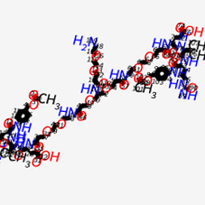 CC(=O)OCc1ccc(NC(=O)[C@H](CCCNC(N)=O)NC(=O)[C@@H](NC(=O)[C@H](CCC(=O)O)NC(=O)CCOCCOCCNC(=O)CCOCC(COCCC(=O)NCCOCCOCCC(=O)N[C@@H](CCC(=O)O)C(=O)N[C@H](C(=O)N[C@@H](CCCNC(N)=O)C(=O)Nc2ccc(COC(C)=O)cc2)C(C)C)NC(=O)CCOCCOCCN)C(C)C)cc1